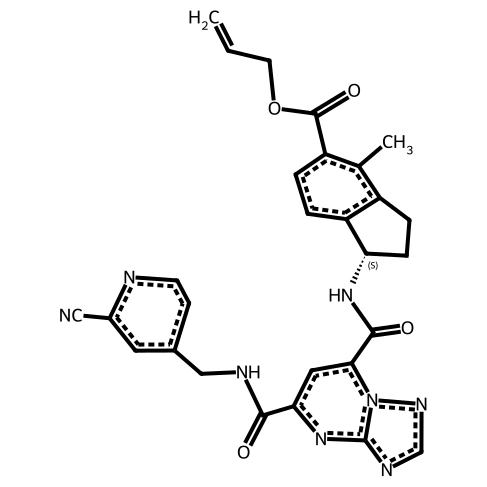 C=CCOC(=O)c1ccc2c(c1C)CC[C@@H]2NC(=O)c1cc(C(=O)NCc2ccnc(C#N)c2)nc2ncnn12